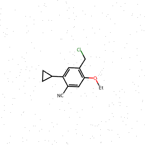 CCOc1cc(C#N)c(C2CC2)cc1CCl